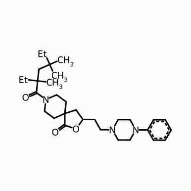 CCC(C)(C)CC(C)(CC)C(=O)N1CCC2(CC1)CC(CCN1CCN(c3ccccc3)CC1)OC2=O